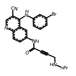 CCCNCC#CC(=O)Nc1ccc2ncc(C#N)c(Nc3cccc(Br)c3)c2c1